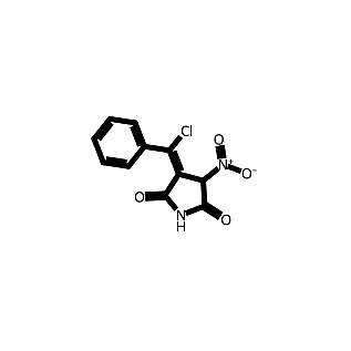 O=C1NC(=O)C([N+](=O)[O-])C1=C(Cl)c1ccccc1